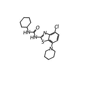 O=C(Nc1nc2c(Cl)ccc(N3CCCCC3)c2s1)NC1CCCCC1